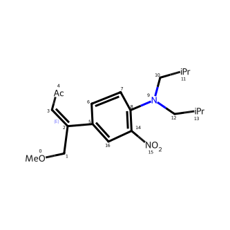 COC/C(=C/C(C)=O)c1ccc(N(CC(C)C)CC(C)C)c([N+](=O)[O-])c1